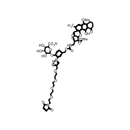 COc1c2c(c(O)c3c4c(c(C)cc13)C1OC3(CNC(=O)OCc5ccc(O[C@@H]6O[C@H](C(=O)O)[C@@H](O)[C@H](O)[C@H]6O)c(-n6cc(COCCOCCOCCOCCN7C(=O)C=CC7=O)nn6)c5)OC1[C@@](OC)(O4)[C@@]31CO1)C(=O)CCC2